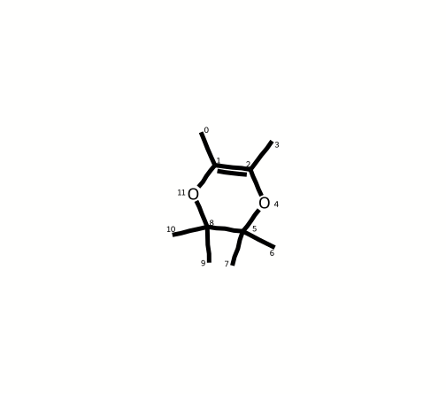 CC1=C(C)OC(C)(C)C(C)(C)O1